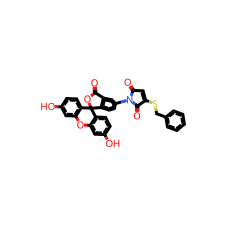 O=C1OC2(c3ccc(O)cc3Oc3cc(O)ccc32)c2ccc(N3C(=O)C=C(SCc4ccccc4)C3=O)cc21